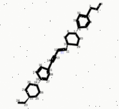 CCCc1ccc([C@H]2CC[C@H](/C=C/C#Cc3ccc([C@H]4CC[C@H](CC)CC4)cc3)CC2)cc1